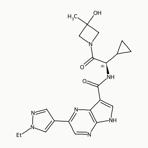 CCn1cc(-c2cnc3[nH]cc(C(=O)N[C@@H](C(=O)N4CC(C)(O)C4)C4CC4)c3n2)cn1